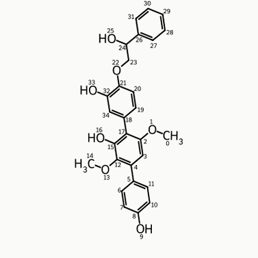 COc1cc(-c2ccc(O)cc2)c(OC)c(O)c1-c1ccc(OCC(O)c2ccccc2)c(O)c1